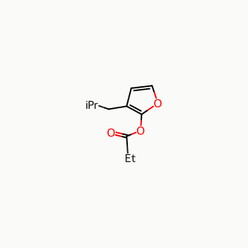 CCC(=O)Oc1occc1CC(C)C